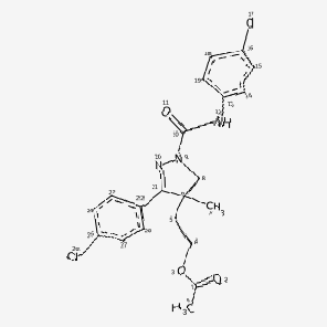 CC(=O)OCCC1(C)CN(C(=O)Nc2ccc(Cl)cc2)N=C1c1ccc(Cl)cc1